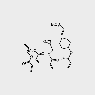 C=CC(=O)OC.C=CC(=O)OC1CCCCC1.C=CC(=O)OCC.C=CC(=O)OCC1CO1.C=CCOC(=O)C=C